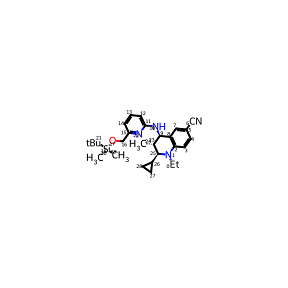 CCN1c2ccc(C#N)cc2[C@H](Nc2cccc(CO[Si](C)(C)C(C)(C)C)n2)[C@@H](C)[C@@H]1C1CC1